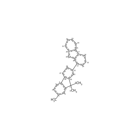 Cc1ccc2c(c1)C(C)(C)c1cc(-c3cccc4c3sc3ccccc34)ccc1-2